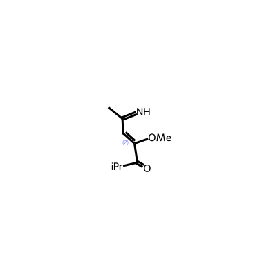 CO/C(=C\C(C)=N)C(=O)C(C)C